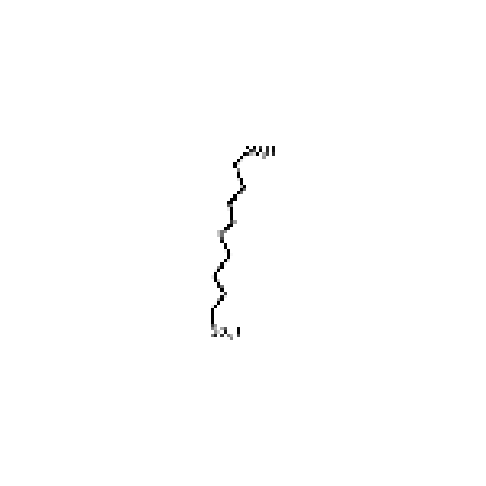 O=S(=O)(O)CCCC[N]CCCCS(=O)(=O)O